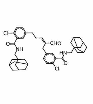 O=CC(=CCCc1ccc(Cl)c(C(=O)NCC23CC4CC(CC(C4)C2)C3)c1)Cc1ccc(Cl)c(C(=O)NCC23CC4CC(CC(C4)C2)C3)c1